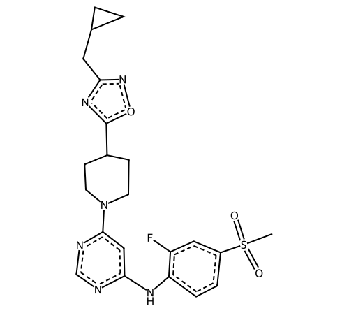 CS(=O)(=O)c1ccc(Nc2cc(N3CCC(c4nc(CC5CC5)no4)CC3)ncn2)c(F)c1